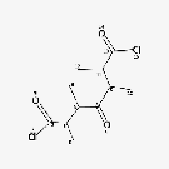 CC(C(=O)Cl)C(C)C(=O)C(C)C(C)C(=O)Cl